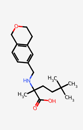 CC(C)(C)CCC(C)(NCc1ccc2c(c1)CCOC2)C(=O)O